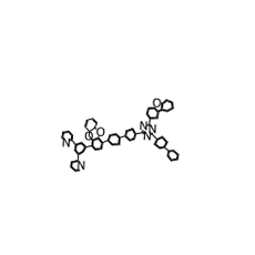 C1=CC2Oc3c(-c4ccc(-c5ccc(-c6nc(-c7ccc(-c8ccccc8)cc7)nc(-c7ccc8oc9ccccc9c8c7)n6)cc5)cc4)ccc(-c4cc(-c5ccccn5)cc(-c5ccccn5)c4)c3OC2C=C1